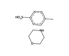 C1COCCN1.Cc1ccc(S(=O)(=O)O)cc1